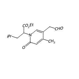 CCOC(=O)C(CC(C)C)n1cc(CC=O)c(C)cc1=O